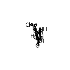 CC1(C)CCC(CN2CCN(c3ccc(C(=O)NS(=N)(=O)c4ccc(NCC5(F)CCOCC5)c([N+](=O)[O-])c4)c(N4CCOc5nc6[nH]ccc6cc54)c3)CC2)=C(c2ccc(Cl)cc2)C1